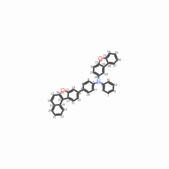 c1ccc(N(c2ccc(-c3ccc4c(c3)oc3ccc5ccccc5c34)cc2)c2ccc3oc4ccccc4c3c2)cc1